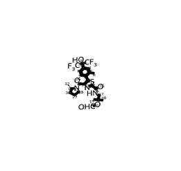 Cc1cc(C(O)(C(F)(F)F)C(F)(F)F)ccc1-c1sc(C(=O)NCC(C)(C)OC=O)nc1C(=O)N1CCC[C@@H]1C